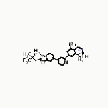 C#C/C=C\c1c(C)cc(-c2cc(-c3ccc4nc(CC(C)(C)C(F)(F)F)oc4c3)ccn2)cc1C(C)(C)C